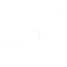 O=C(NCc1cc(F)cc(-c2cnc(C(F)(F)F)cn2)c1)[C@@H]1[C@@H](F)CCN1S(=O)(=O)c1ccc(F)cc1